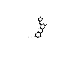 CC1CC(=Cc2ccc(O)cc2)C(=O)C(=Cc2ccc(O)cc2)C1